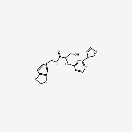 O=C(NCc1ccc2c(c1)OCO2)C(CO)Nc1ccnc(-n2ccnc2)n1